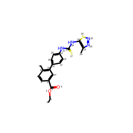 CCOC(=O)c1ccc(C)c(-c2ccc(NC(=S)Nc3snnc3C)cc2)c1